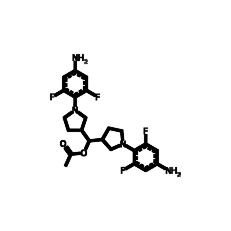 CC(=O)OC(C1CCN(c2c(F)cc(N)cc2F)C1)C1CCN(c2c(F)cc(N)cc2F)C1